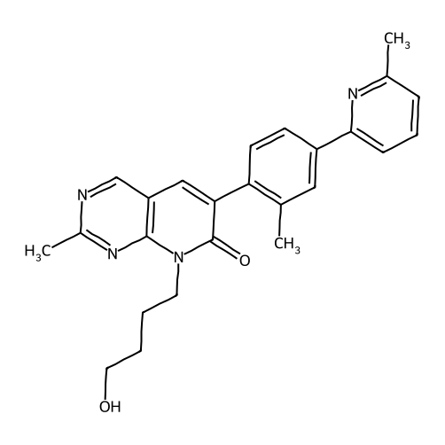 Cc1cccc(-c2ccc(-c3cc4cnc(C)nc4n(CCCCO)c3=O)c(C)c2)n1